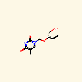 C=C[C@@H](CO)OCn1cc(C)c(=O)[nH]c1=O